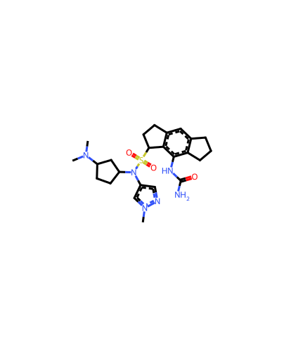 CN(C)C1CCC(N(c2cnn(C)c2)S(=O)(=O)C2CCc3cc4c(c(NC(N)=O)c32)CCC4)C1